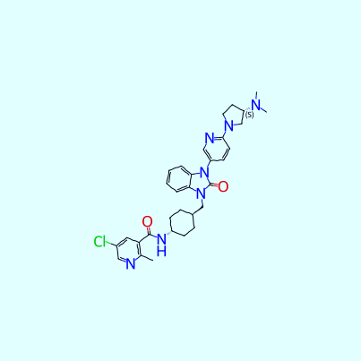 Cc1ncc(Cl)cc1C(=O)N[C@H]1CC[C@H](Cn2c(=O)n(-c3ccc(N4CC[C@H](N(C)C)C4)nc3)c3ccccc32)CC1